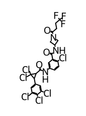 O=C(NC1CN(C(=O)CCC(F)(F)F)C1)c1cc(NC(=O)C2C(c3cc(Cl)c(Cl)c(Cl)c3)C2(Cl)Cl)ccc1Cl